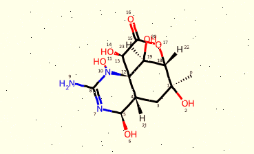 C[C@]1(O)C[C@@H]2[C@@H](O)N=C(N)N(O)[C@]23[C@@H](O)C(=O)O[C@H]1[C@@H]3O